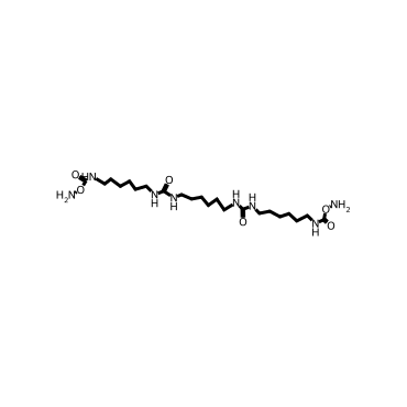 NOC(=O)NCCCCCCNC(=O)NCCCCCCNC(=O)NCCCCCCNC(=O)ON